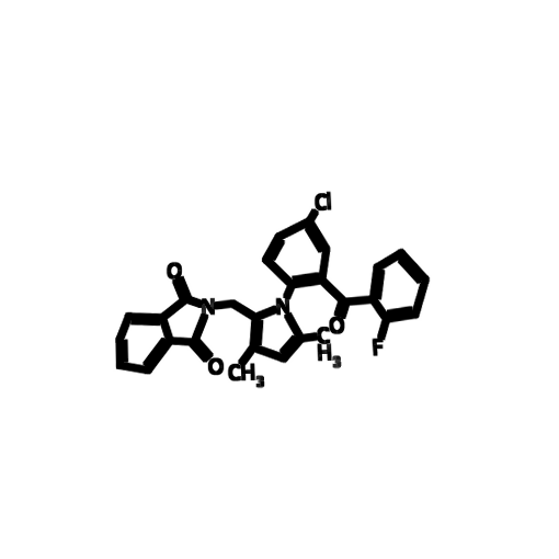 Cc1cc(C)n(-c2ccc(Cl)cc2C(=O)c2ccccc2F)c1CN1C(=O)c2ccccc2C1=O